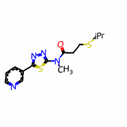 CC(C)SCCC(=O)N(C)c1nnc(-c2cccnc2)s1